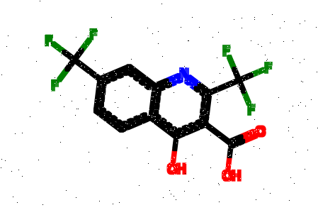 O=C(O)c1c(C(F)(F)F)nc2cc(C(F)(F)F)ccc2c1O